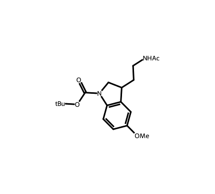 COc1ccc2c(c1)C(CCNC(C)=O)CN2C(=O)OC(C)(C)C